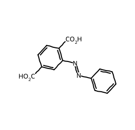 O=C(O)c1ccc(C(=O)O)c(N=Nc2ccccc2)c1